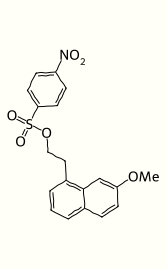 COc1ccc2cccc(CCOS(=O)(=O)c3ccc([N+](=O)[O-])cc3)c2c1